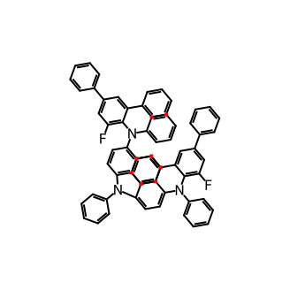 Fc1cc(-c2ccccc2)cc(-c2ccccc2)c1N(c1ccccc1)c1ccc2c3c1ccc1c(N(c4ccccc4)c4c(F)cc(-c5ccccc5)cc4-c4ccccc4)ccc(c13)n2-c1ccccc1